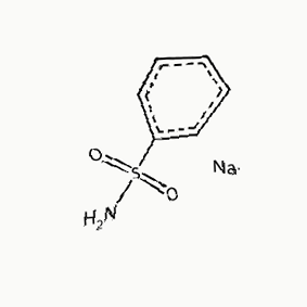 NS(=O)(=O)c1ccccc1.[Na]